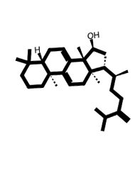 C=C(CC[C@H](C)[C@H]1C[C@H](O)[C@@]2(C)C3=CC[C@H]4C(C)(C)CCC[C@]4(C)C3=CC[C@]12C)C(C)C